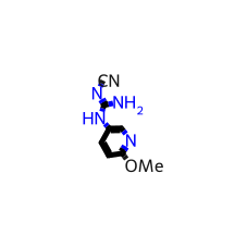 COc1ccc(N/C(N)=N/C#N)cn1